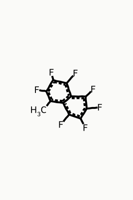 Cc1c(F)c(F)c(F)c2c(F)c(F)c(F)c(F)c12